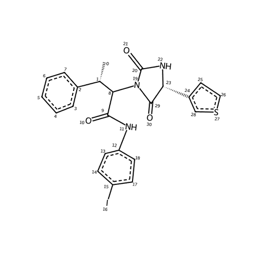 C[C@@H](c1ccccc1)C(C(=O)Nc1ccc(I)cc1)N1C(=O)N[C@H](c2ccsc2)C1=O